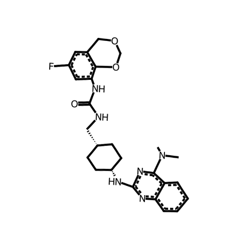 CN(C)c1nc(N[C@H]2CC[C@@H](CNC(=O)Nc3cc(F)cc4c3OCOC4)CC2)nc2ccccc12